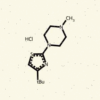 CN1CCN(c2nc(C(C)(C)C)cs2)CC1.Cl